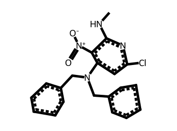 CNc1nc(Cl)cc(N(Cc2ccccc2)Cc2ccccc2)c1[N+](=O)[O-]